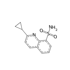 NS(=O)(=O)c1cccc2ccc(C3CC3)nc12